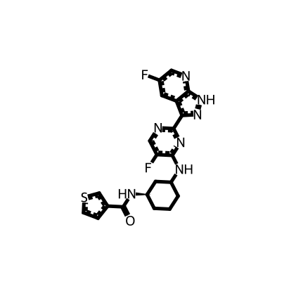 O=C(N[C@@H]1CCCC(Nc2nc(-c3n[nH]c4ncc(F)cc34)ncc2F)C1)c1ccsc1